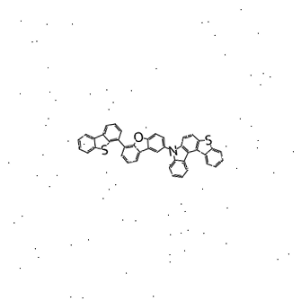 c1ccc2c(c1)sc1c(-c3cccc4c3oc3ccc(-n5c6ccccc6c6c7c(ccc65)sc5ccccc57)cc34)cccc12